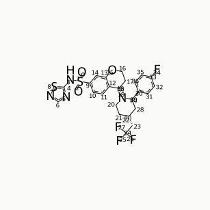 O=S(=O)(Nc1ncns1)c1ccc2c(c1)OCC[C@@H]2N1CC[C@@H](CC(F)(F)F)C[C@@H]1c1ccc(F)cc1